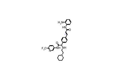 Nc1ccccc1NC(=O)/C=C/c1ccc(C(NCCN2CCCCC2)C(=O)Nc2ccc(C(F)(F)F)nc2)cc1